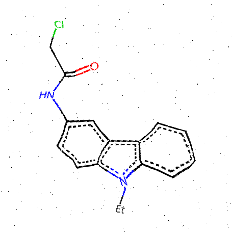 CCn1c2ccccc2c2cc(NC(=O)CCl)ccc21